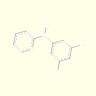 Cc1cc(F)cc(N(C)c2ccccn2)c1